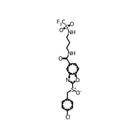 O=C(NCCCNS(=O)(=O)C(F)(F)F)c1ccc2oc([S+]([O-])Cc3ccc(Cl)cc3)nc2c1